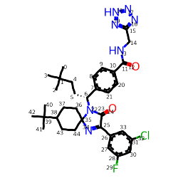 CC(C)(C)CC[C@H](c1ccc(C(=O)NCc2nn[nH]n2)cc1)N1C(=O)C(c2cc(F)cc(Cl)c2)=NC12CCC(C(C)(C)C)CC2